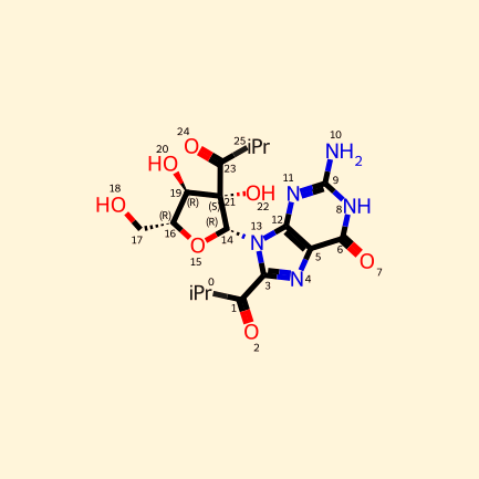 CC(C)C(=O)c1nc2c(=O)[nH]c(N)nc2n1[C@@H]1O[C@H](CO)[C@@H](O)[C@@]1(O)C(=O)C(C)C